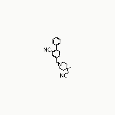 CC1(CC#N)CCN(Cc2ccc(-c3ccccc3)c(C#N)c2)CC1